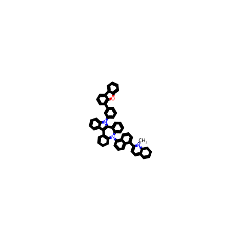 CN1C(c2cccc3c(N4C5=C(C=CCC5)c5c(n(-c6cccc(-c7cccc8c7oc7ccccc78)c6)c6ccccc56)-c5ccccc54)cccc23)=CC=C2C=CCCC21